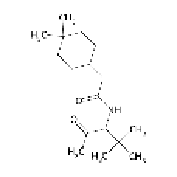 CC(=O)C(NC(=O)CC1CCC(C)(C)CC1)C(C)(C)C